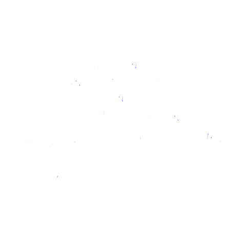 Nc1cccc(-c2nc(C3CCCCN3C(=O)COc3ccccc3)no2)n1